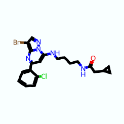 O=C(CC1CC1)NCCCCNc1cc(-c2ccccc2Cl)nc2c(Br)cnn12